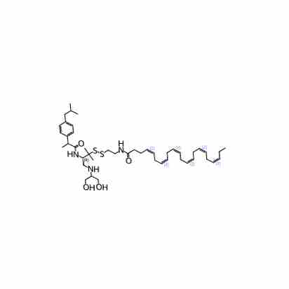 CC/C=C\C/C=C\C/C=C\C/C=C\C/C=C\C/C=C\CCC(=O)NCCSSC(C)(C)[C@@H](CNC(CO)CO)NC(=O)C(C)c1ccc(CC(C)C)cc1